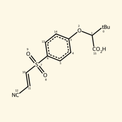 CC(C)(C)C(Oc1ccc(S(=O)(=O)C=CC#N)cc1)C(=O)O